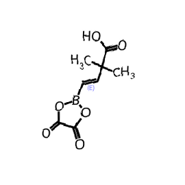 CC(C)(/C=C/B1OC(=O)C(=O)O1)C(=O)O